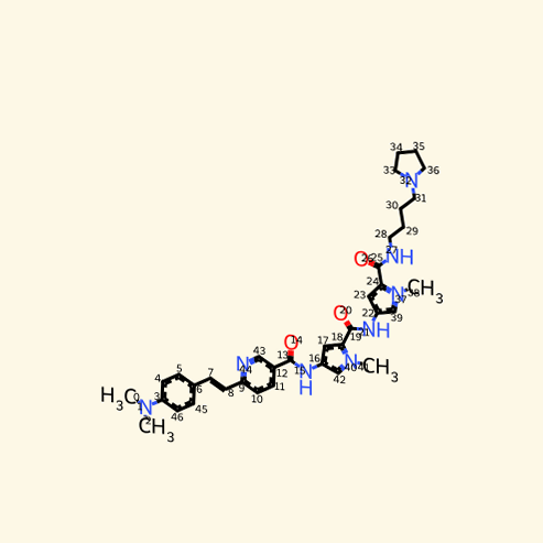 CN(C)c1ccc(/C=C/c2ccc(C(=O)Nc3cc(C(=O)Nc4cc(C(=O)NCCCCN5CCCC5)n(C)c4)n(C)c3)cn2)cc1